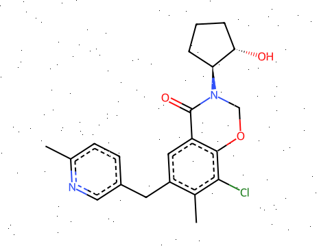 Cc1ccc(Cc2cc3c(c(Cl)c2C)OCN([C@H]2CCC[C@@H]2O)C3=O)cn1